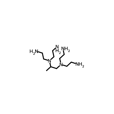 CC(CN(CCN)CCN)N(CCN)CCN